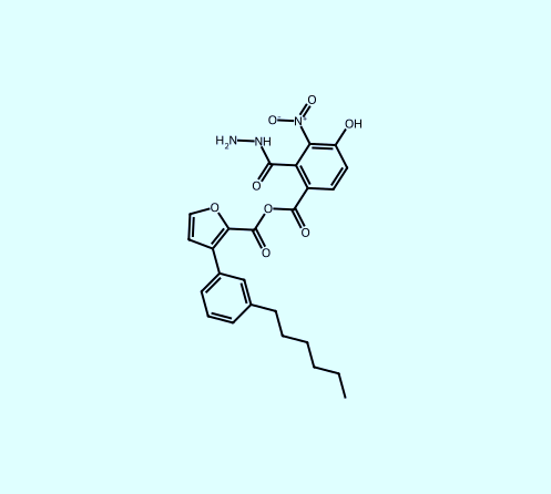 CCCCCCc1cccc(-c2ccoc2C(=O)OC(=O)c2ccc(O)c([N+](=O)[O-])c2C(=O)NN)c1